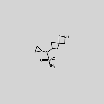 NS(=O)(=O)N(C1CC1)C1CC2(CNC2)C1